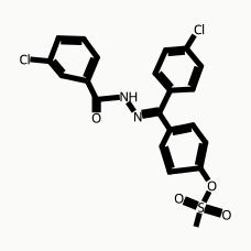 CS(=O)(=O)Oc1ccc(C(=NNC(=O)c2cccc(Cl)c2)c2ccc(Cl)cc2)cc1